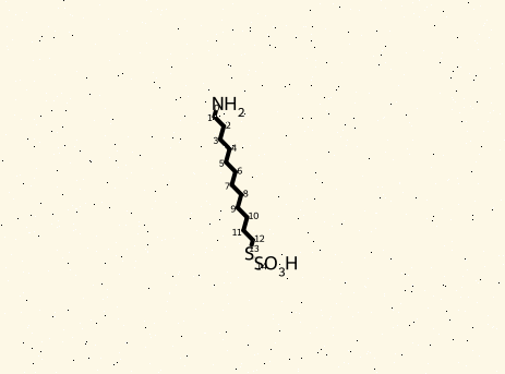 NCCCCCCCCCCCCSS(=O)(=O)O